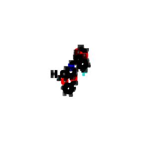 CC1Oc2ccccc2COC12CCN(CCCC1(c3ccc(F)cc3)OCCO1)CC2